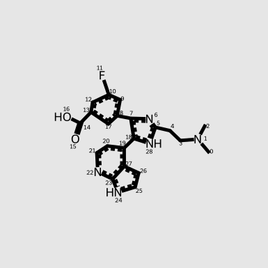 CN(C)CCc1nc(-c2cc(F)cc(C(=O)O)c2)c(-c2ccnc3[nH]ccc23)[nH]1